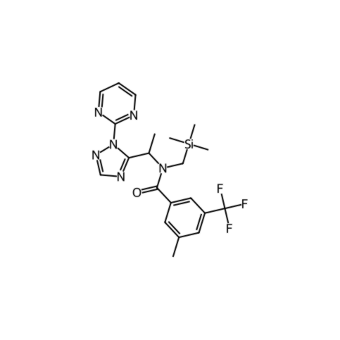 Cc1cc(C(=O)N(C[Si](C)(C)C)C(C)c2ncnn2-c2ncccn2)cc(C(F)(F)F)c1